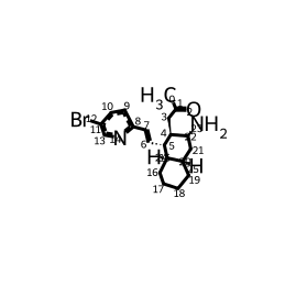 CC(=O)C[C@@H]1[C@@H](/C=C/c2ccc(Br)cn2)[C@@H]2CCCC[C@H]2C[C@@H]1N